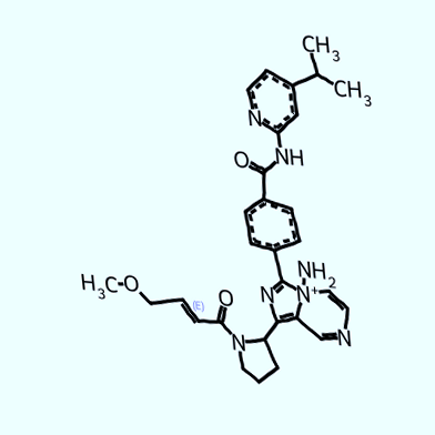 COC/C=C/C(=O)N1CCCC1C1=C2C=NC=C[N+]2(N)C(c2ccc(C(=O)Nc3cc(C(C)C)ccn3)cc2)=N1